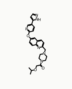 CC(C)OCC(=O)N1CCN(Cc2ccc3cc(Oc4ccc(-c5ccn[nH]5)cn4)ccc3n2)CC1